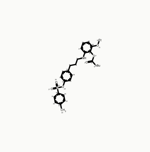 CCCCC(=O)Oc1c(NCCCc2ccc(OS(=O)(=O)c3ccc(C)cc3)cc2)cccc1OCC